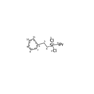 CC(C)[Si](Cl)(Cl)CCc1ccccc1